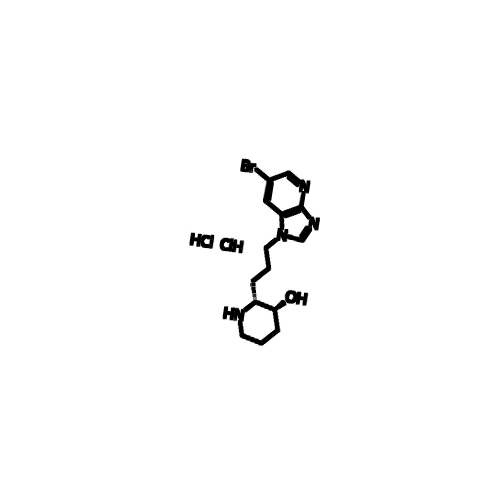 Cl.Cl.O[C@H]1CCCN[C@@H]1CCCn1cnc2ncc(Br)cc21